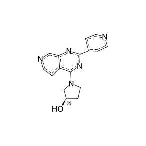 O[C@@H]1CCN(c2nc(-c3ccncc3)nc3cnccc23)C1